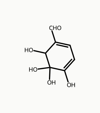 O=CC1=CC=C(O)C(O)(O)C1O